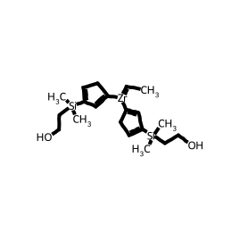 C[CH]=[Zr]([C]1=CC([Si](C)(C)CCO)=CC1)[C]1=CC([Si](C)(C)CCO)=CC1